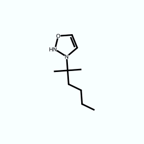 CCCCC(C)(C)N1C=CON1